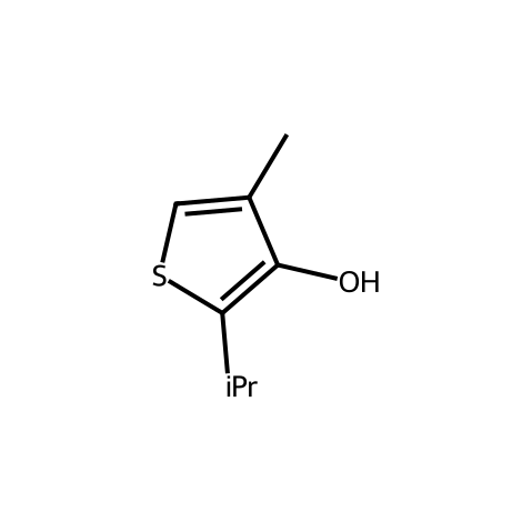 Cc1csc(C(C)C)c1O